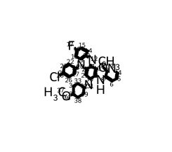 COc1ncccc1Nc1cc2nc3ccc(F)cc3n(-c3ccc(Cl)cc3)c-2c/c1=N\C1CCC(OC)CC1